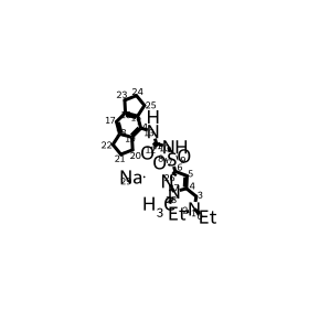 CCN(CC)Cc1cc(S(=O)(=O)NC(=O)Nc2c3c(cc4c2CCC4)CCC3)nn1C.[Na]